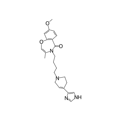 COc1ccc2c(c1)OC=C(C)N(CCCCN1CC=C(c3c[nH]cn3)CC1)C2=O